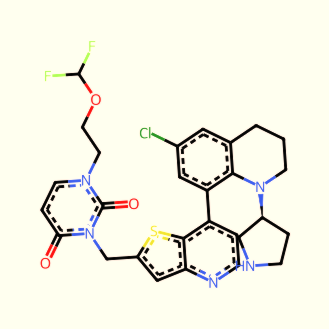 O=c1ccn(CCOC(F)F)c(=O)n1Cc1cc2nccc(-c3cc(Cl)cc4c3N([C@H]3CCNC3)CCC4)c2s1